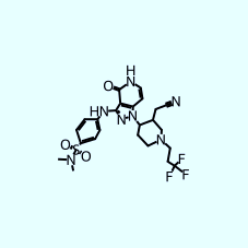 CN(C)S(=O)(=O)c1ccc(Nc2nn(C3CCN(CCC(F)(F)F)CC3CC#N)c3cc[nH]c(=O)c23)cc1